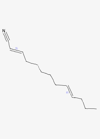 CCC/C=C/CCCCC/C=C/C#N